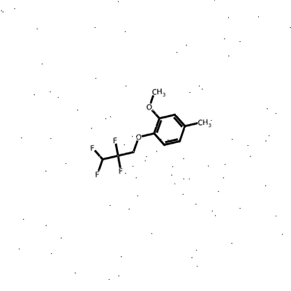 COc1cc(C)ccc1OCC(F)(F)C(F)F